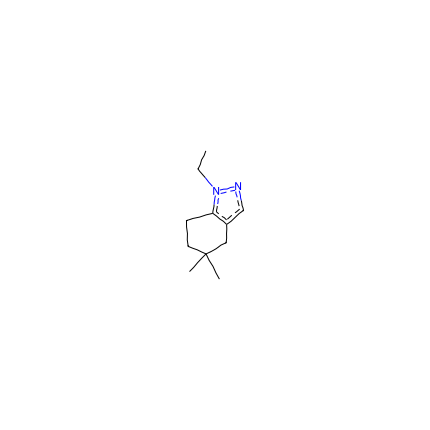 CCn1ncc2c1CCC(C)(C)C2